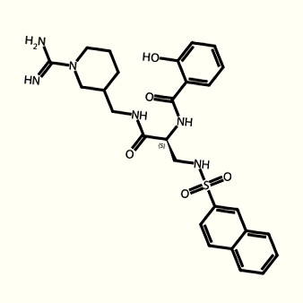 N=C(N)N1CCCC(CNC(=O)[C@H](CNS(=O)(=O)c2ccc3ccccc3c2)NC(=O)c2ccccc2O)C1